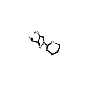 O=CC1=NN(C2CCCCO2)CC1O